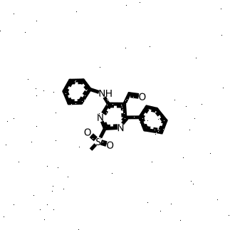 CS(=O)(=O)c1nc(Nc2ccccc2)c(C=O)c(-c2ccccc2)n1